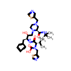 CC(C)[C@@H](C(=O)N[C@@H](Cc1ccccc1)[C@@H](O)CN1CCN(Cc2cncs2)C[C@H]1C(=O)NC(C)(C)C)N(Cc1cncs1)C(=O)O